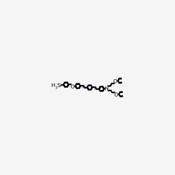 C=CC(C=C)OCCCCN(CCCCOC(C=C)C=C)c1ccc(/C=C/c2ccc(/C=C/c3ccc(OCc4ccc([SiH3])cc4)cc3)cc2)cc1